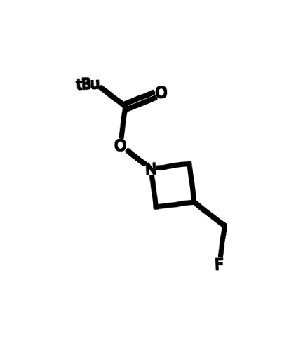 CC(C)(C)C(=O)ON1CC(CF)C1